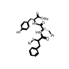 COC(=O)[C@H](Cc1ccc(O)cc1)NC(=O)[C@H](CC(C)C)NC(=O)C(Cc1ccccc1)SC(C)=O